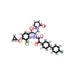 O=C(N[C@H](CN1CCCC1=O)[C@H](O)c1ccc(OC2CC2)c(Cl)c1)C(=O)c1ccc(-c2ccc(F)cc2)cc1